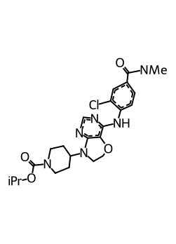 CNC(=O)c1ccc(Nc2ncnc3c2OCCN3C2CCN(C(=O)OC(C)C)CC2)c(Cl)c1